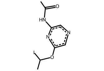 CC(=O)Nc1cncc(OC(C)I)n1